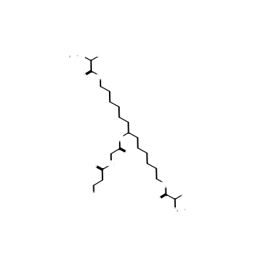 CCCCCCCCC(CCCCCC)C(=O)OCCCCCCC(CCCCCCOC(=O)C(CCCCCC)CCCCCCCC)OC(=O)CNC(=O)CCC(=O)O